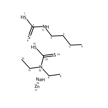 CCCCNC(=S)S.CCN(CC)C(=S)S.[NaH].[Zn]